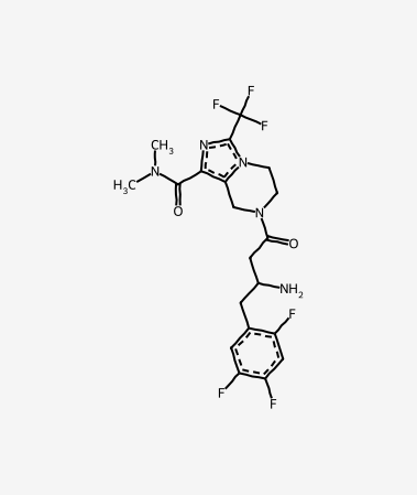 CN(C)C(=O)c1nc(C(F)(F)F)n2c1CN(C(=O)CC(N)Cc1cc(F)c(F)cc1F)CC2